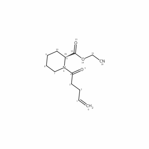 C=CCCC(=O)N1CCCC[C@H]1C(=O)OCC#N